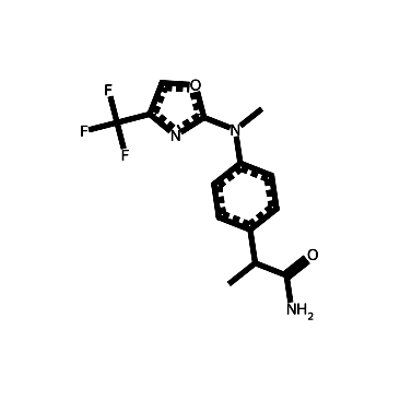 CC(C(N)=O)c1ccc(N(C)c2nc(C(F)(F)F)co2)cc1